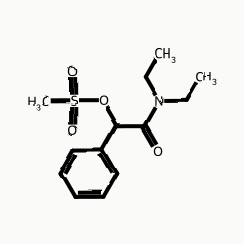 CCN(CC)C(=O)C(OS(C)(=O)=O)c1ccccc1